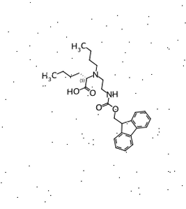 CCCC[C@@H](C(=O)O)N(CCCC)CCNC(=O)OCC1c2ccccc2-c2ccccc21